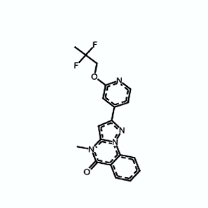 Cn1c(=O)c2ccccc2n2nc(-c3ccnc(OCC(C)(F)F)c3)cc12